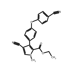 CCOC(=O)c1c(-c2ccc(Oc3ccc(C#N)cc3)cc2)c(C#N)cn1C